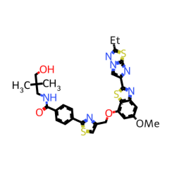 CCc1nn2cc(-c3nc4cc(OC)cc(OCc5csc(-c6ccc(C(=O)NCC(C)(C)CO)cc6)n5)c4s3)nc2s1